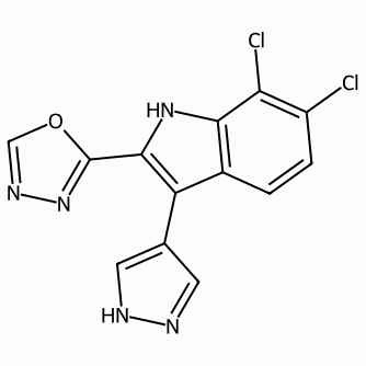 Clc1ccc2c(-c3cn[nH]c3)c(-c3nnco3)[nH]c2c1Cl